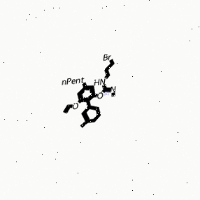 C=COc1cc(CCCCC)cc(O/C(=N\C)NCCCBr)c1C1C=C(C)CCC1